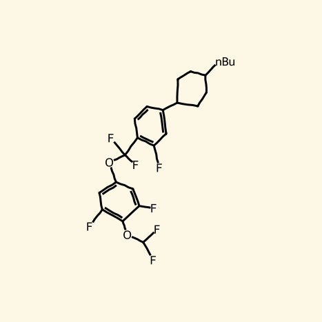 CCCCC1CCC(c2ccc(C(F)(F)Oc3cc(F)c(OC(F)F)c(F)c3)c(F)c2)CC1